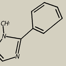 [CH]n1ccnc1-c1ccccc1